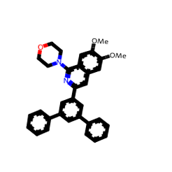 COc1cc2cc(-c3cc(-c4ccccc4)cc(-c4ccccc4)c3)nc(N3CCOCC3)c2cc1OC